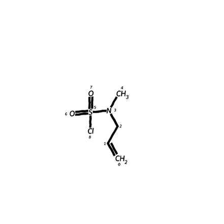 C=CCN(C)S(=O)(=O)Cl